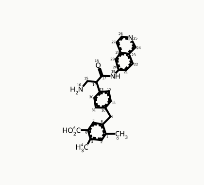 Cc1cc(C)c(C(=O)O)cc1Cc1ccc(C(CN)C(=O)Nc2ccc3cnccc3c2)cc1